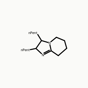 CCCCCC1N=C2CCCCN2C1CCCCC